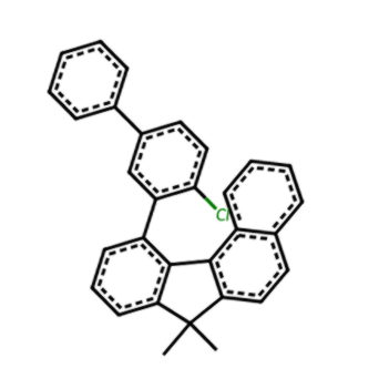 CC1(C)c2cccc(-c3cc(-c4ccccc4)ccc3Cl)c2-c2c1ccc1ccccc21